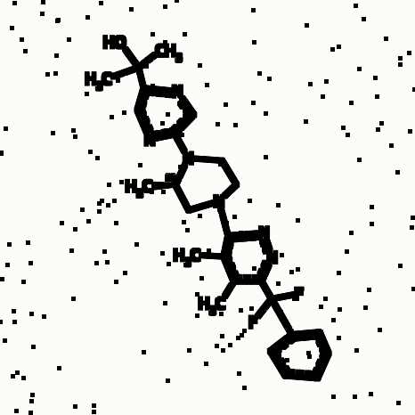 Cc1c(N2CCN(c3cnc(C(C)(C)O)cn3)[C@H](C)C2)nnc(C(F)(F)c2ccccc2)c1C